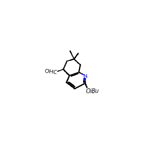 CC(C)COc1ccc2c(n1)CC(C)(C)CC2C=O